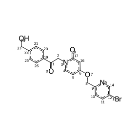 O=C(Cn1ccc(OCc2ccc(Br)cn2)cc1=O)c1ccc(CO)cc1